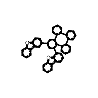 c1ccc2c(c1)-c1ccccc1-c1cc(-c3ccc4oc5ccccc5c4c3)cc(-c3cccc4c3oc3ccccc34)c1-c1ccccc1-2